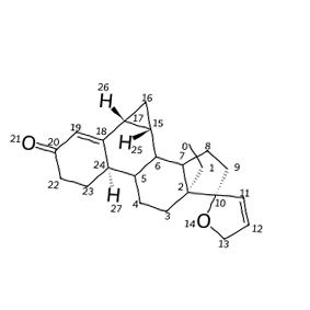 CC[C@]12CCC3C(C1CC[C@@]21C=CCO1)[C@H]1C[C@H]1C1=CC(=O)CC[C@@H]13